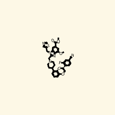 COC(=O)c1cc(OC)c2nc(CN3CCC(c4cccc5c4O[C@@H](c4ccc(C#N)cc4F)CO5)CC3)n(Cc3cncs3)c2c1